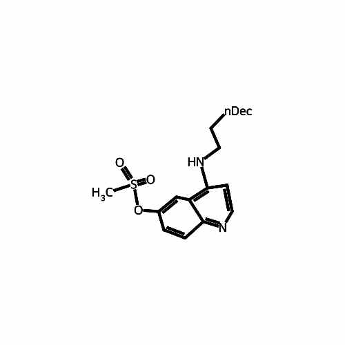 CCCCCCCCCCCCNc1ccnc2ccc(OS(C)(=O)=O)cc12